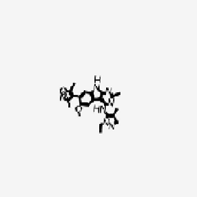 CCn1ncc(C)c1Nc1nc(C)nc2[nH]c3cc(-c4c(C)noc4C)c(OC)cc3c12